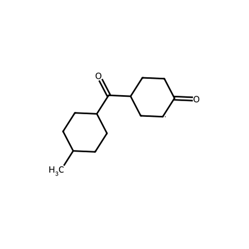 CC1CCC(C(=O)C2C[CH]C(=O)CC2)CC1